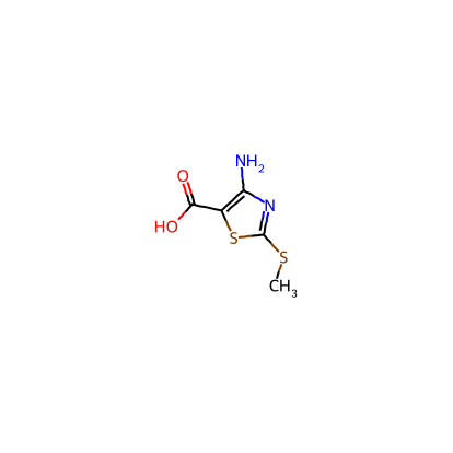 CSc1nc(N)c(C(=O)O)s1